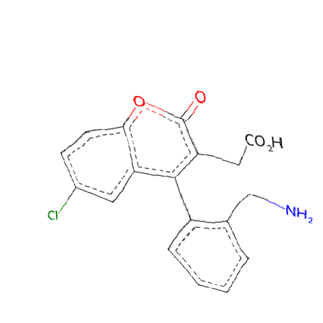 NCc1ccccc1-c1c(CC(=O)O)c(=O)oc2ccc(Cl)cc12